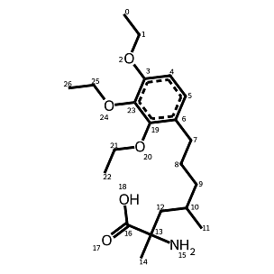 CCOc1ccc(CCCC(C)CC(C)(N)C(=O)O)c(OCC)c1OCC